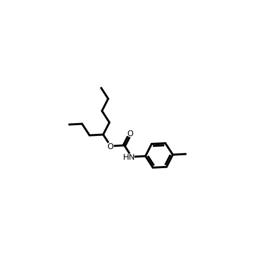 CCCCC(CCC)OC(=O)Nc1ccc(C)cc1